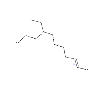 [CH2]/C=C/CCCCC(CC)CC[CH2]